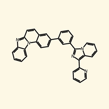 c1ccc(-c2nc(-c3cccc(-c4ccc5c(ccc6nc7ccccc7n65)c4)c3)n3ccccc23)nc1